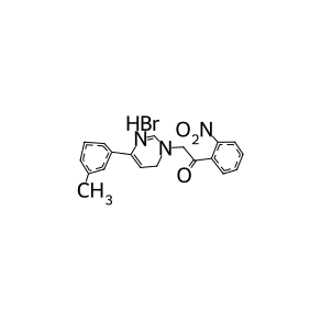 Br.Cc1cccc(C2=CCN(CC(=O)c3ccccc3[N+](=O)[O-])C=N2)c1